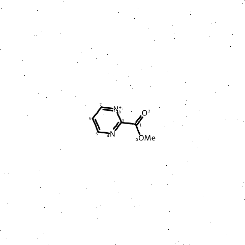 COC(=O)C1=NC=CC=[N+]1